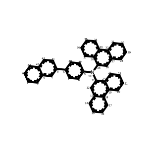 c1ccc2cc(-c3ccc(N(c4cc5ccccc5c5ccccc45)c4cc5ccccc5c5ccccc45)cc3)ccc2c1